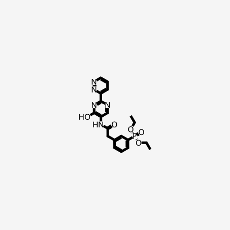 CCOP(=O)(OCC)c1cccc(CC(=O)Nc2cnc(-c3cccnn3)nc2O)c1